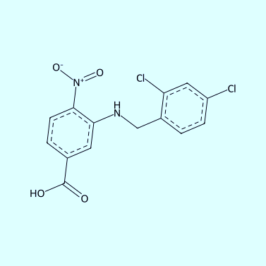 O=C(O)c1ccc([N+](=O)[O-])c(NCc2ccc(Cl)cc2Cl)c1